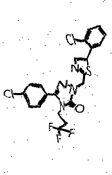 O=c1n(Cc2ncc(-c3ccccc3Cl)s2)nc(-c2ccc(Cl)cc2)n1CCC(F)(F)F